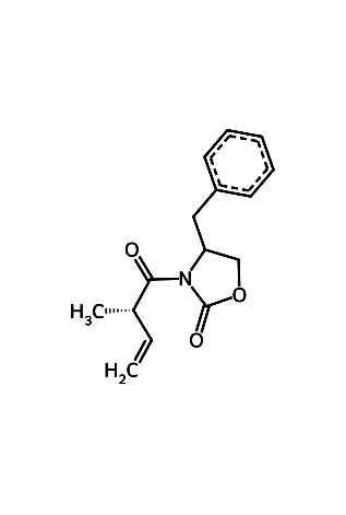 C=C[C@H](C)C(=O)N1C(=O)OCC1Cc1ccccc1